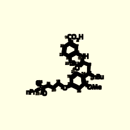 CCCCC(CC(=O)Nc1cc(C(=O)O)ccc1C(C)(C)C)c1ccc(OCCCS(=O)(=O)CCC)cc1OC